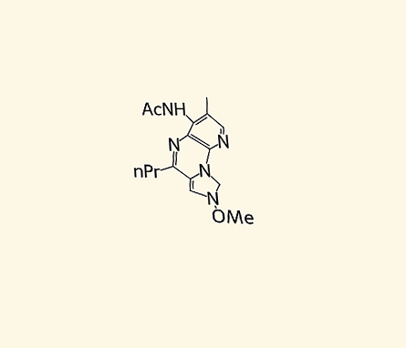 CCCC1=Nc2c(ncc(C)c2NC(C)=O)N2CN(OC)C=C12